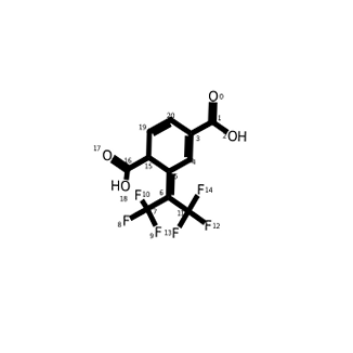 O=C(O)C1=CC(=C(C(F)(F)F)C(F)(F)F)C(C(=O)O)C=C1